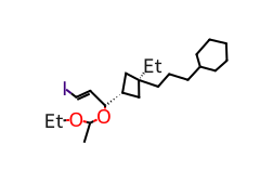 CCOC(C)OC(C=CI)[C@H]1C[C@](CC)(CCCC2CCCCC2)C1